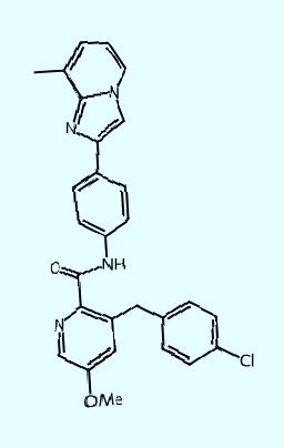 COc1cnc(C(=O)Nc2ccc(-c3cn4cccc(C)c4n3)cc2)c(Cc2ccc(Cl)cc2)c1